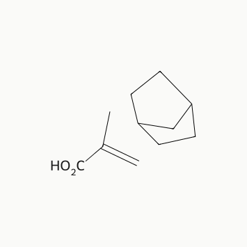 C1CC2CCC1C2.C=C(C)C(=O)O